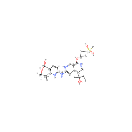 CCC(C)(O)c1cnc(O[C@H]2C[C@@H](S(C)(=O)=O)C2)c2cnc(Nc3ccc4c(n3)[C@@H](C)C(C)(C)OC4=O)cc12